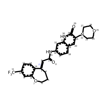 O=C(/C=C1\CCCOc2cc(C(F)(F)F)ccc21)Nc1ccc2cc(N3CCOCC3)c(=O)[nH]c2c1